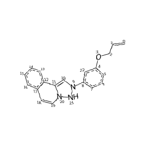 C=CCOc1cccc(N2C=C3c4ccccc4C=CN3N2)c1